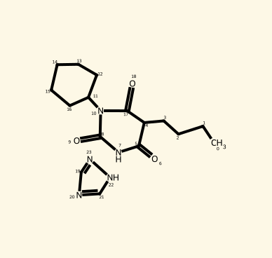 CCCCC1C(=O)NC(=O)N(C2CCCCC2)C1=O.c1nc[nH]n1